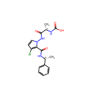 C[C@H](NC(=O)O)C(=O)Nn1ccc(Br)c1C(=O)N[C@H](C)c1ccccc1